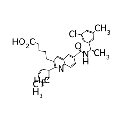 C/C=C(\C=C/C(C)F)c1nc2ccc(C(=O)N[C@H](C)c3cc(C)cc(Cl)c3)cc2cc1CCCCC(=O)O